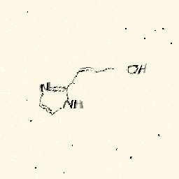 OCC=Cc1ncc[nH]1